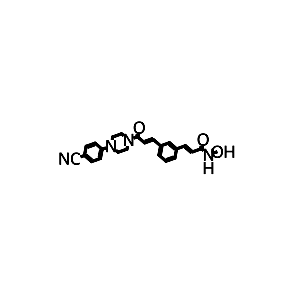 N#Cc1ccc(N2CCN(C(=O)/C=C/c3cccc(/C=C/C(=O)NO)c3)CC2)cc1